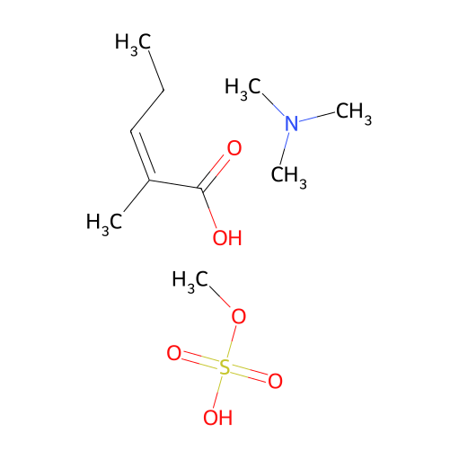 CCC=C(C)C(=O)O.CN(C)C.COS(=O)(=O)O